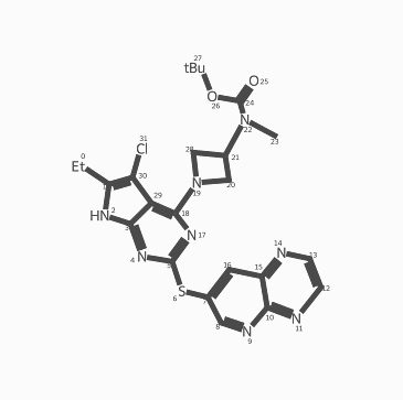 CCc1[nH]c2nc(Sc3cnc4nccnc4c3)nc(N3CC(N(C)C(=O)OC(C)(C)C)C3)c2c1Cl